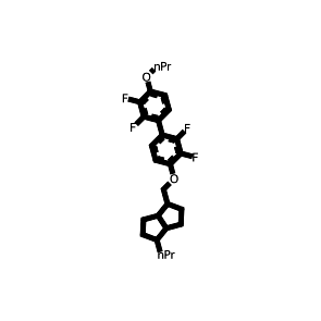 CCCOc1ccc(-c2ccc(OCC3CCC4C(CCC)CCC34)c(F)c2F)c(F)c1F